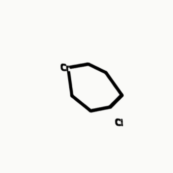 C1CC[CH2][Cr][CH2]C1.[C]